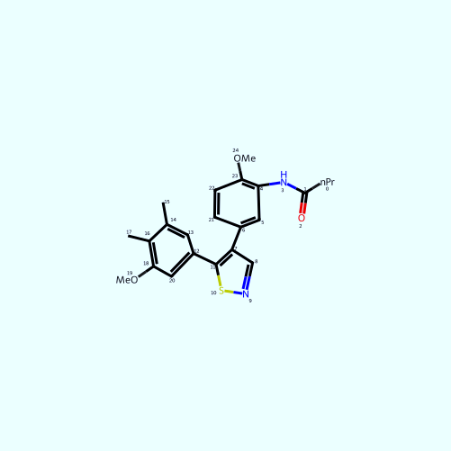 CCCC(=O)Nc1cc(-c2cnsc2-c2cc(C)c(C)c(OC)c2)ccc1OC